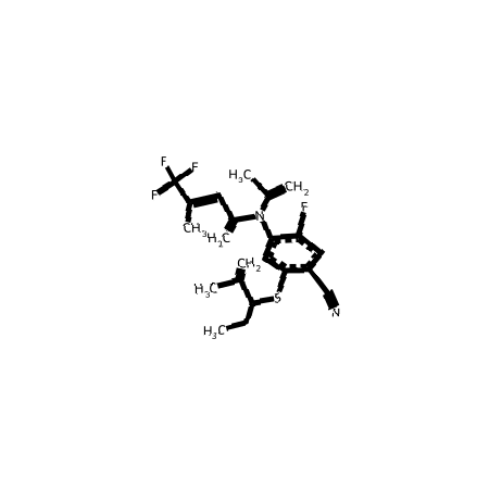 C=C(C)C(CC)Sc1cc(N(C(=C)C)C(=C)/C=C(\C)C(F)(F)F)c(F)cc1C#N